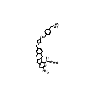 CCCCCNc1nc(N)nc2ccn(Cc3ccc(CN4CC(OCc5ccc(CNC(C)C)cc5)C4)cc3C)c12